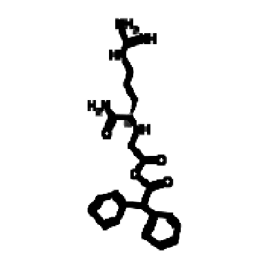 N=C(N)NCCC[C@H](NCC(=O)OC(=O)C(c1ccccc1)c1ccccc1)C(N)=O